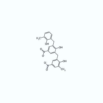 Cc1cccc(Cc2cc([N+](=O)[O-])cc(Cc3cc([N+](=O)[O-])cc(C)c3O)c2O)c1O